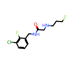 O=C(CNCCCF)NCc1cccc(Cl)c1F